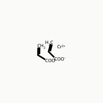 C=CC(=O)[O-].C=CC(=O)[O-].[Cr+2]